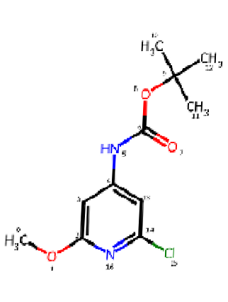 COc1cc(NC(=O)OC(C)(C)C)cc(Cl)n1